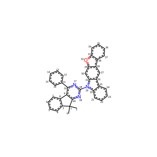 CC1(C)c2ccccc2-c2c(-c3ccccc3)nc(-n3c4ccccc4c4cc5c(cc43)oc3ccccc35)nc21